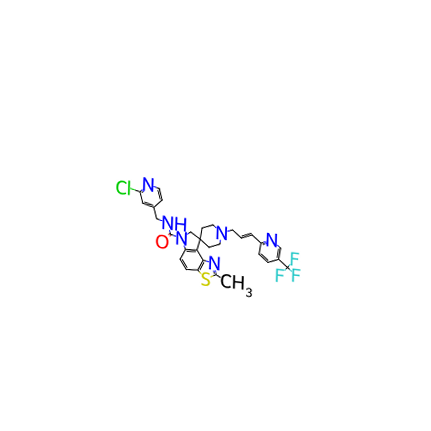 Cc1nc2c3c(ccc2s1)N(C(=O)NCc1ccnc(Cl)c1)CC31CCN(C/C=C/c2ccc(C(F)(F)F)cn2)CC1